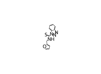 S=C(NCc1ccco1)n1nnc2ccccc21